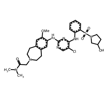 COc1cc2c(cc1[AsH]c1ncc(Cl)c(Nc3ccccc3S(=O)(=O)N3CCC(O)C3)n1)CCN(CC(=O)N(C)C)CC2